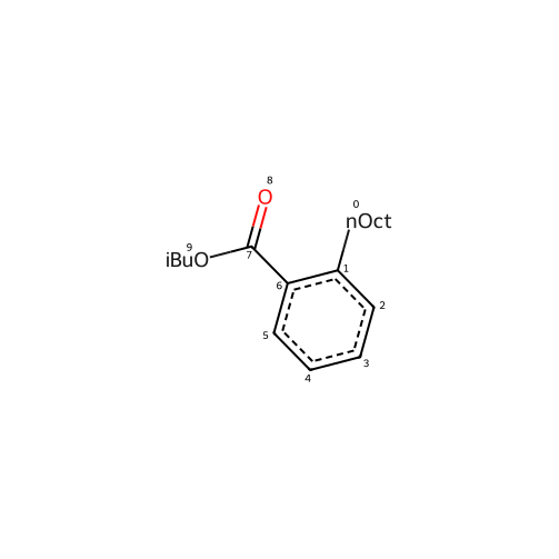 CCCCCCCCc1ccccc1C(=O)OCC(C)C